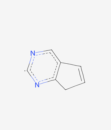 [c]1ncc2c(n1)CC=C2